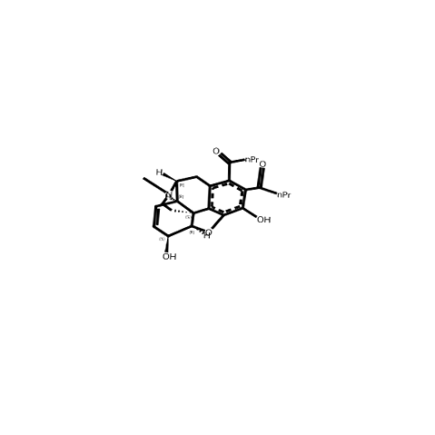 CCCC(=O)c1c(O)c2c3c(c1C(=O)CCC)C[C@@H]1[C@@H]4C=C[C@H](O)[C@H](O2)[C@]34CCN1C